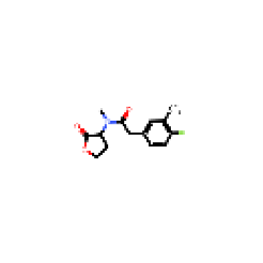 CN(C(=O)Cc1ccc(F)c(C(F)(F)F)c1)C1CCOC1=O